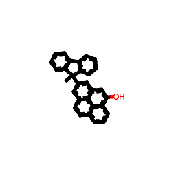 CC1(c2cc3ccc4cccc5c(O)cc(c2)c3c45)c2ccccc2-c2ccccc21